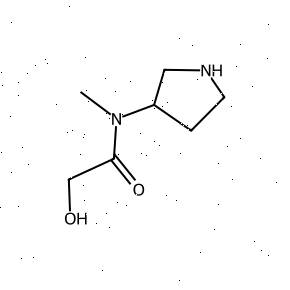 CN(C(=O)CO)C1CCNC1